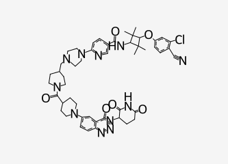 CC1(C)C(NC(=O)c2ccc(N3CCN(CC4CCN(C(=O)C5CCN(c6ccc7nnn(C8CCC(=O)NC8=O)c(=O)c7c6)CC5)CC4)CC3)nc2)C(C)(C)C1Oc1ccc(C#N)c(Cl)c1